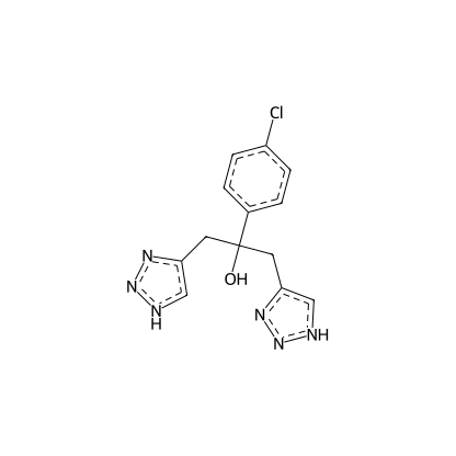 OC(Cc1c[nH]nn1)(Cc1c[nH]nn1)c1ccc(Cl)cc1